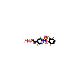 O=C(Oc1ccccc1Br)N1CCC(CCO)CC1